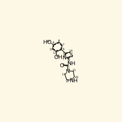 O=C(Nc1nc(-c2ccc(O)cc2O)cs1)N1CCNCC1